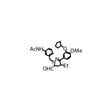 CCC1CC(C=O)N(Cc2cccc(NC(C)=O)c2)N=C1c1ccc(OC)c(OC2CCCC2)c1